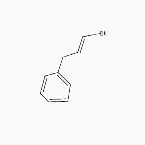 CC/C=C/Cc1ccccc1